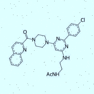 CC(=O)NCCNc1cc(N2CCN(C(=O)c3ccc4ccccc4n3)CC2)nc(-c2ccc(Cl)cc2)n1